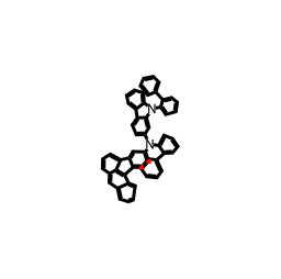 c1ccc(-c2ccccc2N(c2ccc3c(c2)-c2cccc4cc5ccccc5c-3c24)c2ccc3c4ccccc4n(-c4ccccc4-c4ccccc4)c3c2)cc1